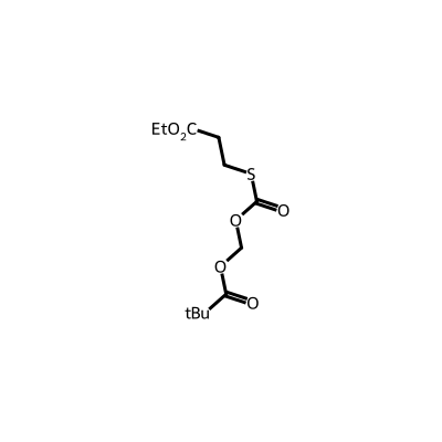 CCOC(=O)CCSC(=O)OCOC(=O)C(C)(C)C